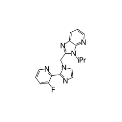 CC(C)n1c(Cn2ccnc2-c2ncccc2F)nc2cccnc21